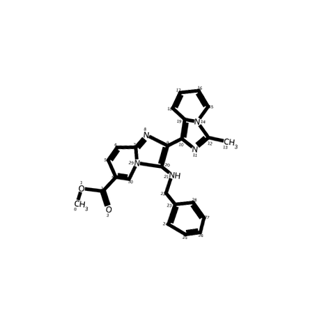 COC(=O)c1ccc2nc(-c3nc(C)n4ccccc34)c(NCc3ccccc3)n2c1